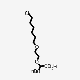 CCCCC(OCCOCCCCCCCl)C(=O)O